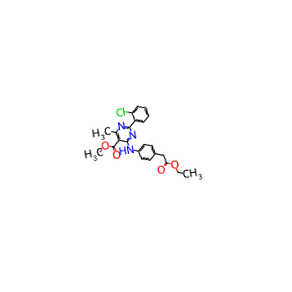 CCOC(=O)Cc1ccc(Nc2nc(-c3ccccc3Cl)nc(C)c2C(=O)OC)cc1